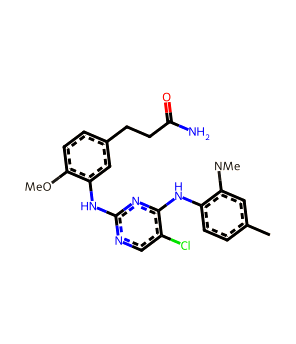 CNc1cc(C)ccc1Nc1nc(Nc2cc(CCC(N)=O)ccc2OC)ncc1Cl